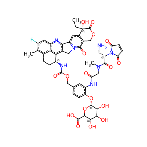 CC[C@@]1(O)C(=O)OCc2c1cc1n(c2=O)Cc2c-1nc1cc(F)c(C)c3c1c2[C@@H](NC(=O)OCc1ccc(O[C@H]2OC(C(=O)O)[C@@H](O)C(O)C2O)c(NC(=O)CN(C)C(=O)[C@H](CN)N2C(=O)C=CC2=O)c1)CC3